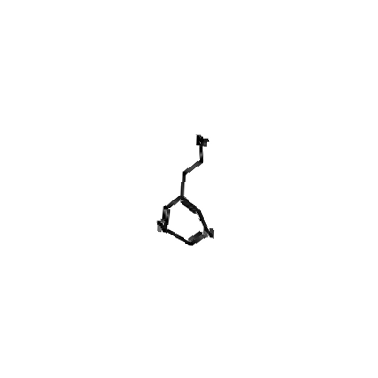 BrCCc1cncnc1